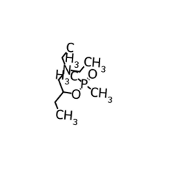 CCC(CN(CC)CC)OP(C)(C)=O